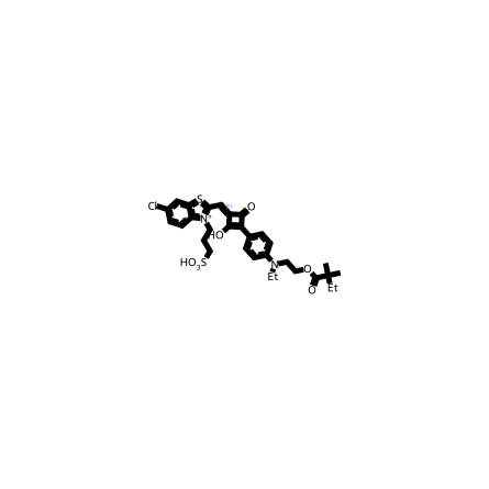 CCN(CCOC(=O)C(C)(C)CC)c1ccc(C2=C(O)/C(=C\c3sc4cc(Cl)ccc4[n+]3CCCS(=O)(=O)O)C2=O)cc1